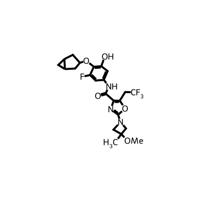 COC1(C)CN(c2nc(C(=O)Nc3cc(O)c(OC4CC5CC5C4)c(F)c3)c(CC(F)(F)F)o2)C1